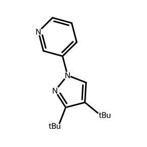 CC(C)(C)c1cn(-c2cccnc2)nc1C(C)(C)C